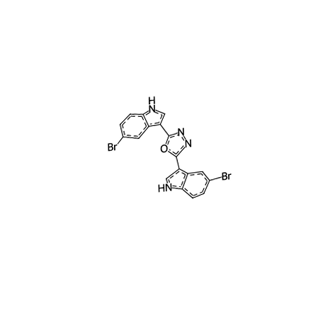 Brc1ccc2[nH]cc(-c3nnc(-c4c[nH]c5ccc(Br)cc45)o3)c2c1